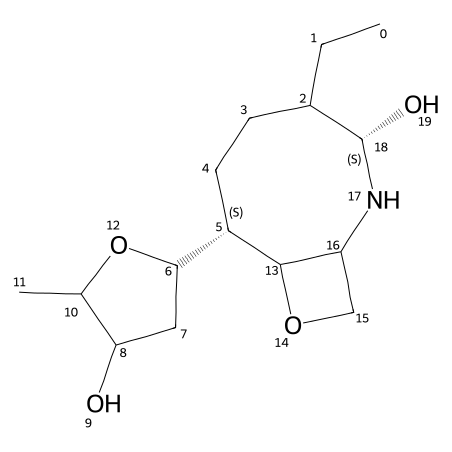 CCC1CC[C@@H](C2CC(O)C(C)O2)C2OCC2N[C@H]1O